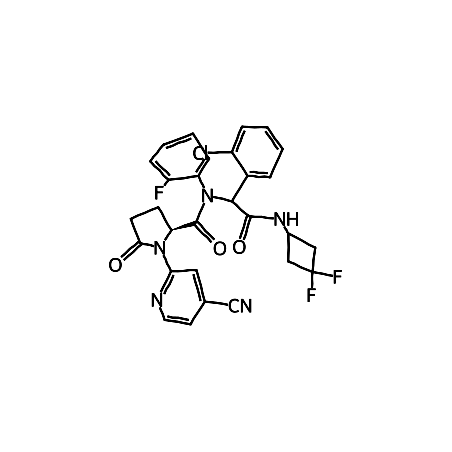 N#Cc1ccnc(N2C(=O)CC[C@H]2C(=O)N(c2ccccc2F)C(C(=O)NC2CC(F)(F)C2)c2ccccc2Cl)c1